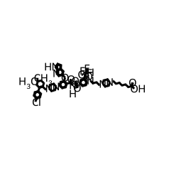 CC1(C)CCC(CN2CCN(c3ccc(C(=O)NS(=O)(=O)c4ccc(NCCCN5CCN(CCCCCCC(=O)O)CC5)c(S(=O)(=O)C(F)(F)F)c4)c(Oc4cnc5[nH]ccc5c4)c3)CC2)=C(c2ccc(Cl)cc2)C1